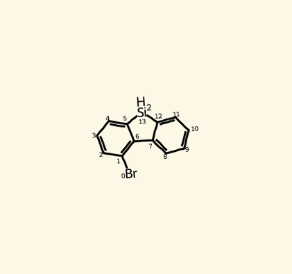 Brc1cccc2c1-c1ccccc1[SiH2]2